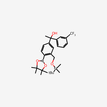 CC(O)(c1cccc(C(F)(F)F)c1)c1ccc(B2OC(C)(C)C(C)(C)O2)c(CO[Si](C)(C)C(C)(C)C)c1